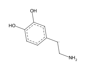 NC[CH]c1ccc(O)c(O)c1